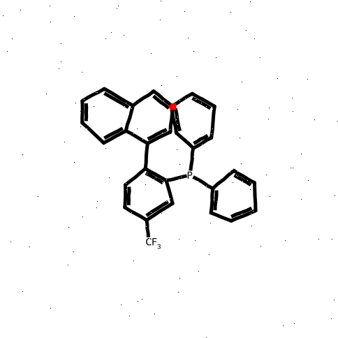 FC(F)(F)c1ccc(-c2cccc3ccccc23)c(P(c2ccccc2)c2ccccc2)c1